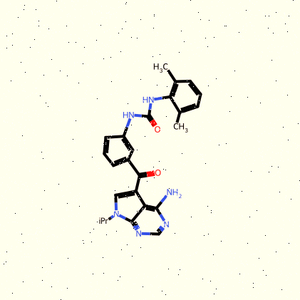 Cc1cccc(C)c1NC(=O)Nc1cccc(C(=O)c2cn(C(C)C)c3ncnc(N)c23)c1